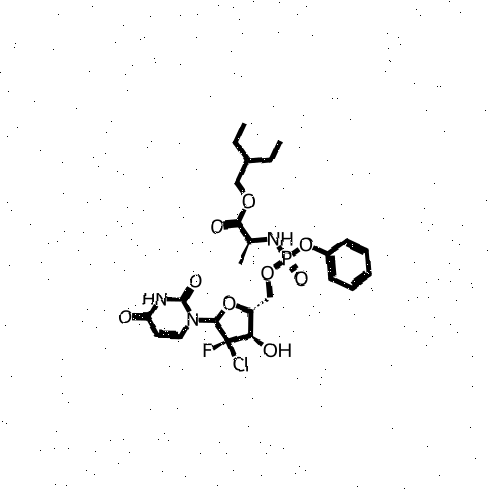 CCC(CC)COC(=O)[C@H](C)NP(=O)(OC[C@H]1OC(n2ccc(=O)[nH]c2=O)[C@@](F)(Cl)[C@@H]1O)Oc1ccccc1